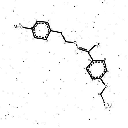 CC/C(=N\OCCc1ccc(OC)cc1)c1ccc(OCC(=O)O)cc1